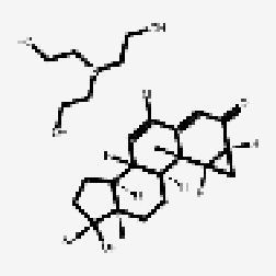 CC(=O)[C@@]1(O)CC[C@H]2[C@@H]3C=C(Cl)C4=CC(=O)[C@@H]5C[C@@H]5[C@]4(C)[C@H]3CC[C@@]21C.OCCN(CCO)CCO